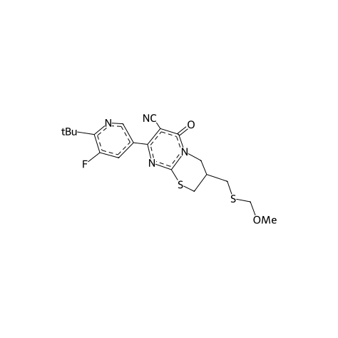 COCSCC1CSc2nc(-c3cnc(C(C)(C)C)c(F)c3)c(C#N)c(=O)n2C1